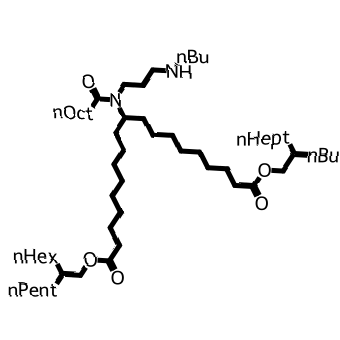 CCCCCCCCC(=O)N(CCCNCCCC)C(CCCCCCCCC(=O)OCC(CCCC)CCCCCCC)CCCCCCCCC(=O)OCC(CCCCC)CCCCCC